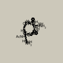 CC(=O)N[C@@H](CCCNC(=N)N)C(=O)N[C@H]1CC(=O)NCCCC[C@@H](C(N)=O)NC(=O)[C@H](Cc2c[nH]c3ccccc23)NC(=O)[C@H](CCCNC(=N)N)NC(=O)[C@@H](Cc2ccccc2F)NC(=O)[C@@H]2CCCN2C1=O